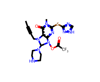 CC#CCN1c2c(nc(Sc3nc[nH]n3)n(C)c2=O)N(OC(=O)C(F)(F)F)C1N1CCNCC1